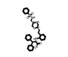 NC(=O)[C@@H](Nc1ccccc1CC[C@@H]1CN[C@H](CNS(=O)(=O)c2ccccc2)CO1)C(c1ccccc1)c1ccccc1